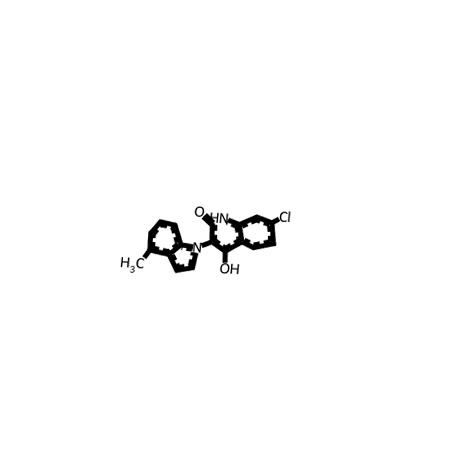 Cc1cccc2c1ccn2-c1c(O)c2ccc(Cl)cc2[nH]c1=O